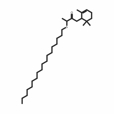 CCCCCCCCCCCCCCCCCCSC(C)C(=O)CC1C(C)=CCCC1(C)C